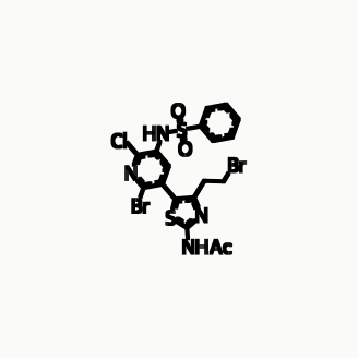 CC(=O)Nc1nc(CCBr)c(-c2cc(NS(=O)(=O)c3ccccc3)c(Cl)nc2Br)s1